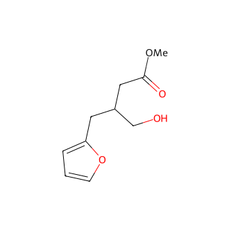 COC(=O)CC(CO)Cc1ccco1